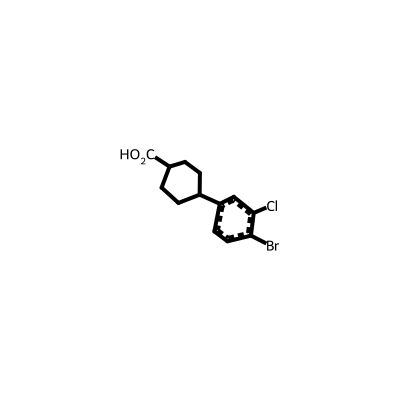 O=C(O)C1CCC(c2ccc(Br)c(Cl)c2)CC1